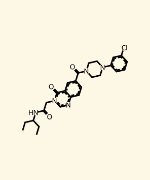 CCC(CC)NC(=O)Cn1cnc2ccc(C(=O)N3CCN(c4cccc(Cl)c4)CC3)cc2c1=O